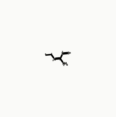 CCN=C(N)N=O